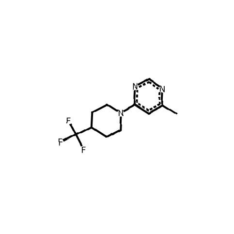 Cc1cc(N2CCC(C(F)(F)F)CC2)ncn1